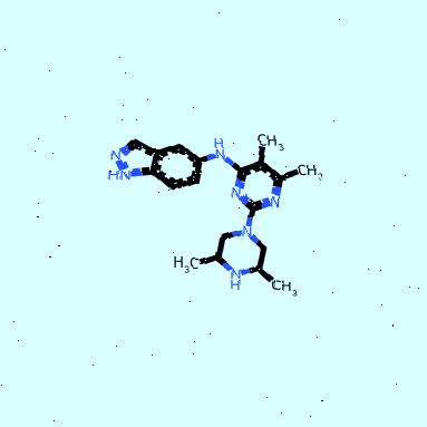 Cc1nc(N2CC(C)NC(C)C2)nc(Nc2ccc3[nH]ncc3c2)c1C